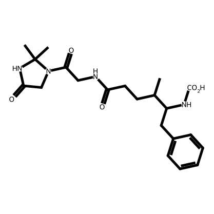 CC(CCC(=O)NCC(=O)N1CC(=O)NC1(C)C)C(Cc1ccccc1)NC(=O)O